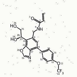 C=CC(=O)NCc1cc(-c2ccc(OC(F)(F)F)cc2)c2ncoc2c1[C@@H](O)CO